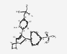 CS(=O)(=O)c1ccc(C2=CC3(C=C2c2ccc(C(F)(F)F)cn2)CCC3)cc1